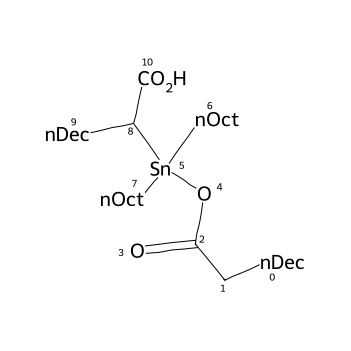 CCCCCCCCCCCC(=O)[O][Sn]([CH2]CCCCCCC)([CH2]CCCCCCC)[CH](CCCCCCCCCC)C(=O)O